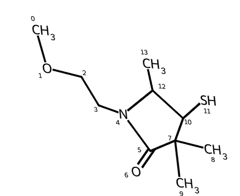 COCCN1C(=O)C(C)(C)C(S)C1C